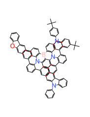 CC(C)(C)c1ccc(N(c2ccc(C(C)(C)C)cc2)c2ccc3c(c2)N(c2c(-c4ccccc4)cccc2-c2ccccc2)c2cc(-c4ccc5c(c4)c4ccccc4n5-c4ccccc4)cc4c2B3c2ccc(-c3ccc5oc6ccccc6c5c3)cc2N4c2c(-c3ccccc3)cccc2-c2ccccc2)cc1